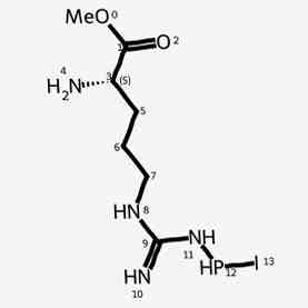 COC(=O)[C@@H](N)CCCNC(=N)NPI